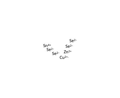 [Cu+2].[Se-2].[Se-2].[Se-2].[Se-2].[Sn+4].[Zn+2]